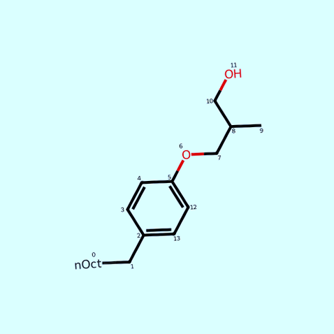 CCCCCCCCCc1ccc(OCC(C)CO)cc1